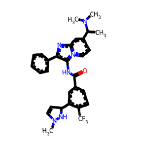 CC(c1ccn2c(NC(=O)c3ccc(C(F)(F)F)c(C4C=CN(C)N4)c3)c(-c3ccccc3)nc2c1)N(C)C